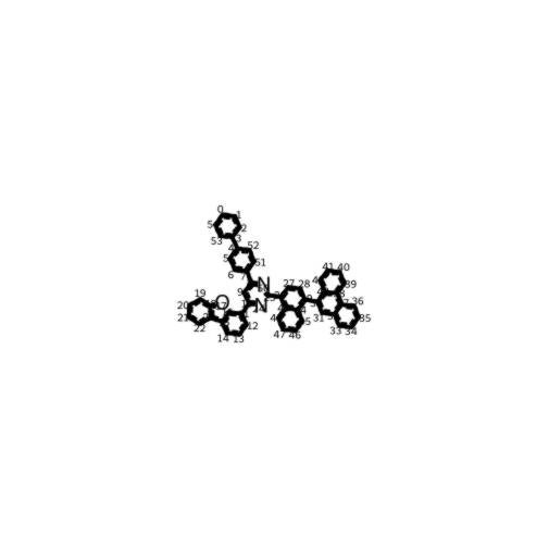 c1ccc(-c2ccc(-c3cc(-c4cccc5c4oc4ccccc45)nc(-c4ccc(-c5cc6ccccc6c6ccccc56)c5ccccc45)n3)cc2)cc1